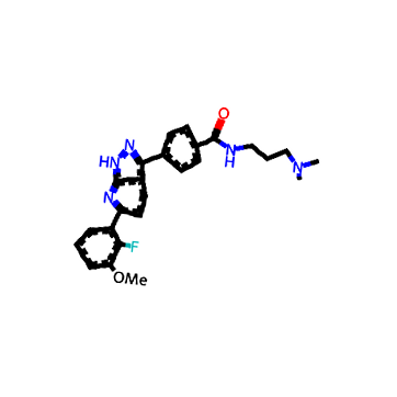 COc1cccc(-c2ccc3c(-c4ccc(C(=O)NCCCN(C)C)cc4)n[nH]c3n2)c1F